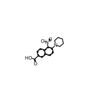 O=C(O)c1ccc2c([N+](=O)[O-])c(N3CCCCC3)ccc2c1